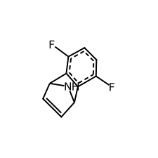 Fc1ccc(F)c2c1C1C=CC2N1